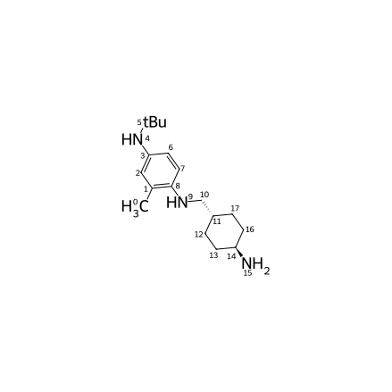 Cc1cc(NC(C)(C)C)ccc1NC[C@H]1CC[C@H](N)CC1